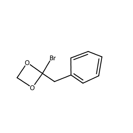 BrC1(Cc2ccccc2)OCO1